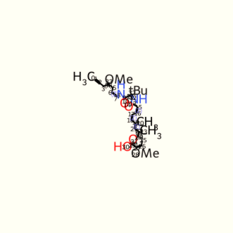 CC#CC[C@@H](C/C=C\NC(=O)[C@@H](NC(=O)\C=C/C=C\C(C)=C\[C@H](C)[C@@H]1CC=C(OC)[C@H](O)O1)C(C)(C)C)OC